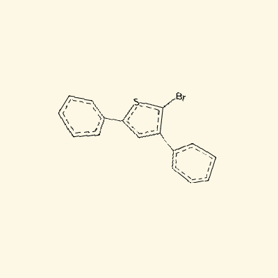 Brc1sc(-c2ccccc2)cc1-c1ccccc1